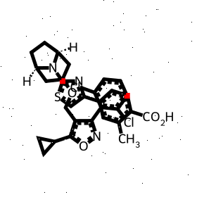 Cc1cc(-c2csc(N3[C@@H]4CC[C@H]3CC(OCc3c(-c5c(Cl)cccc5Cl)noc3C3CC3)C4)n2)ccc1C(=O)O